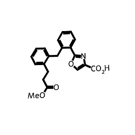 COC(=O)CCc1ccccc1Cc1ccccc1-c1nc(C(=O)O)co1